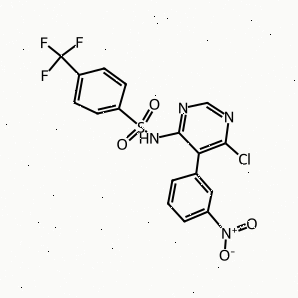 O=[N+]([O-])c1cccc(-c2c(Cl)ncnc2NS(=O)(=O)c2ccc(C(F)(F)F)cc2)c1